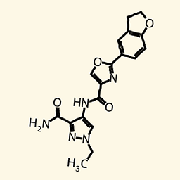 CCn1cc(NC(=O)c2coc(-c3ccc4c(c3)CCO4)n2)c(C(N)=O)n1